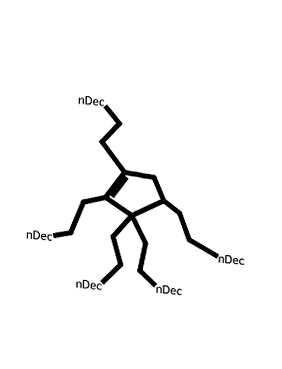 CCCCCCCCCCCCC1=C(CCCCCCCCCCCC)C(CCCCCCCCCCCC)(CCCCCCCCCCCC)C(CCCCCCCCCCCC)C1